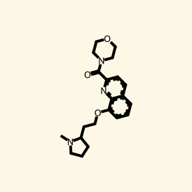 CN1CCCC1CCOc1cccc2ccc(C(=O)N3CCOCC3)nc12